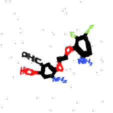 Nc1cc(O)c(C=O)cc1OCCOc1c(N)ccc(F)c1F